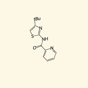 CC(C)(C)c1csc(NC(=O)c2ccccn2)n1